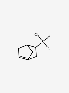 C[Si](Cl)(Cl)C1CC2=CCC1C2